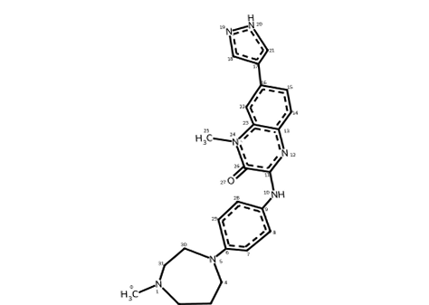 CN1CCCN(c2ccc(Nc3nc4ccc(-c5cn[nH]c5)cc4n(C)c3=O)cc2)CC1